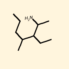 CCCC(C)C(CC)C(C)N